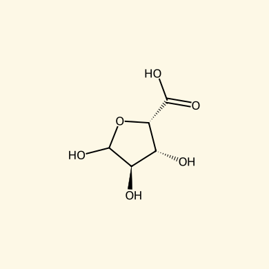 O=C(O)[C@H]1OC(O)[C@H](O)[C@H]1O